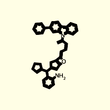 C=C(/C=C\C=C1/OC2=C1CC(C(C1=CCCC1)c1ccccc1N)=C2)n1c2ccccc2c2ccc(-c3ccccc3)cc21